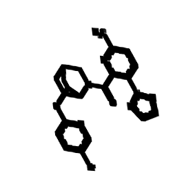 Cc1ccc(-n2nccn2)c(C(=O)N2CC3CCC2C(Oc2ccc(Br)cn2)C3)n1